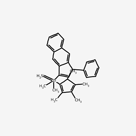 CC1=C(C)C(C)[C]([Zr]([CH3])([CH3])(=[SiH2])[C]2=CC(c3ccccc3)c3cc4ccccc4cc32)=C1C